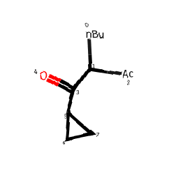 CCCCC(C(C)=O)C(=O)C1CC1